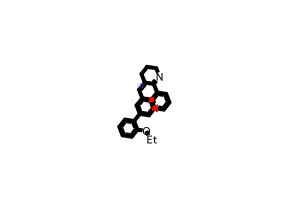 CCOc1ccccc1-c1cccc(/C=C2/CCCN=C2c2cccnc2)c1